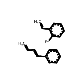 C=CC=Cc1ccccc1.C=Cc1ccccc1CC